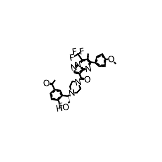 COc1ccc(-c2nc3c(C(=O)N4CCN([C@H](CO)c5cc(C(C)=O)ccc5F)CC4)cnn3c(C(F)(F)F)c2C)cc1